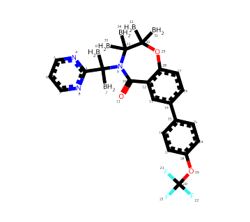 BC(B)(c1ncccn1)N1C(=O)c2cc(-c3ccc(OC(F)(F)F)cc3)ccc2OC(B)(B)C1(B)B